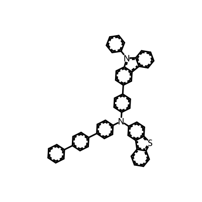 c1ccc(-c2ccc(-c3ccc(N(c4ccc(-c5ccc6c(c5)c5ccccc5n6-c5ccccc5)cc4)c4ccc5sc6ccccc6c5c4)cc3)cc2)cc1